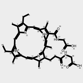 CCC1=C(C)c2cc3[nH]c(cc4nc(c(C)c5[nH]c(cc1n2)c(C)c5C(=O)NCC(=O)O)C(CCC(=O)NCC(=O)O)C4C)c(C)c3CC